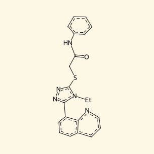 CCn1c(SCC(=O)Nc2ccccc2)nnc1-c1cccc2cccnc12